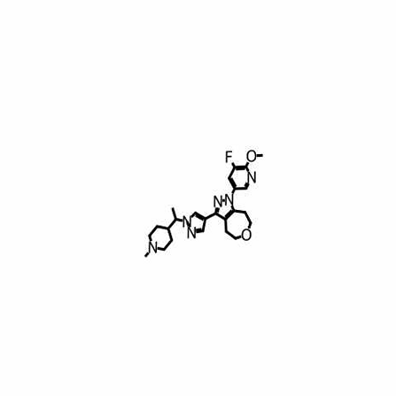 COc1ncc(-n2nc(-c3cnn(C(C)C4CCN(C)CC4)c3)c3c2CCOCC3)cc1F